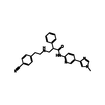 Cn1cnc(-c2ccc(NC(=O)C(CNCCc3ccc(C#N)cc3)c3ccccc3)nc2)c1